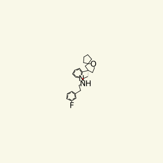 Fc1cccc(CCNCC[C@@]2(c3ccccn3)CCOC3(CCCC3)C2)c1